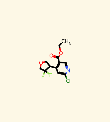 CCOC(=O)c1cnc(Cl)cc1C1COCC1(F)F